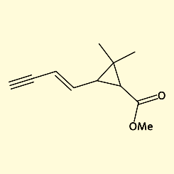 C#CC=CC1C(C(=O)OC)C1(C)C